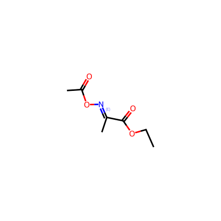 CCOC(=O)/C(C)=N/OC(C)=O